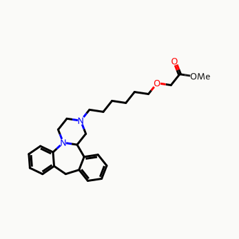 COC(=O)COCCCCCCN1CCN2c3ccccc3Cc3ccccc3C2C1